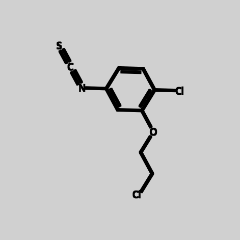 S=C=Nc1ccc(Cl)c(OCCCl)c1